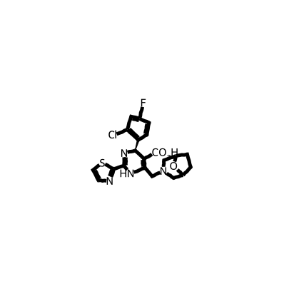 O=C(O)C1=C(CN2CC3CCC(C2)O3)NC(c2nccs2)=N[C@H]1c1ccc(F)cc1Cl